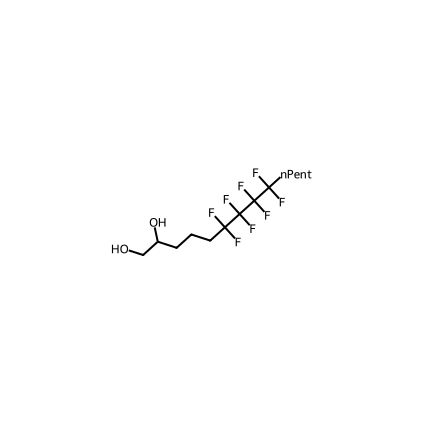 CCCCCC(F)(F)C(F)(F)C(F)(F)C(F)(F)CCCC(O)CO